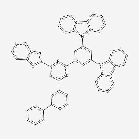 c1ccc(-c2cccc(-c3nc(-c4cc(-n5c6ccccc6c6ccccc65)cc(-n5c6ccccc6c6ccccc65)c4)nc(-c4cc5ccccc5o4)n3)c2)cc1